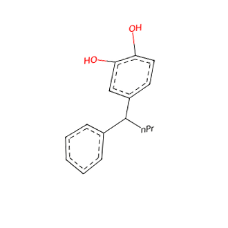 CCCC(c1ccccc1)c1ccc(O)c(O)c1